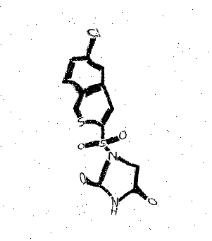 O=C1CN(S(=O)(=O)c2cc3cc(Cl)ccc3s2)C(=O)N1